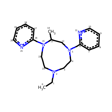 CCN1CCN(c2ccccn2)CC(C)N(c2ccccn2)CC1